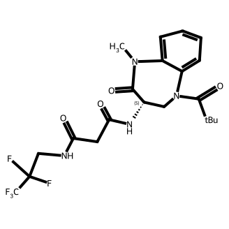 CN1C(=O)[C@@H](NC(=O)CC(=O)NCC(F)(F)C(F)(F)F)CN(C(=O)C(C)(C)C)c2ccccc21